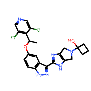 CC(Oc1ccc2[nH]nc(-c3nc4c([nH]3)CN(C3(O)CCC3)C4)c2c1)c1c(Cl)cncc1Cl